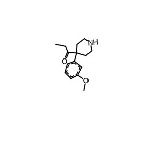 CCC(=O)C1(c2cccc(OC)c2)CCNCC1